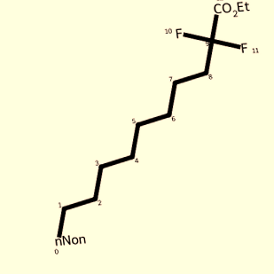 CCCCCCCCCCCCCCCCCC(F)(F)C(=O)OCC